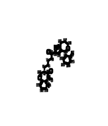 CN1C(=O)[C@@H](CCCCC(=O)c2cc3n(n2)CCCO[C@@H]3c2ccccc2F)COc2cccnc21